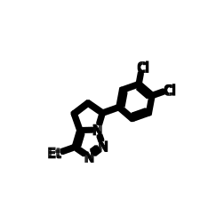 [CH2]Cc1nnn2c1CCC2c1ccc(Cl)c(Cl)c1